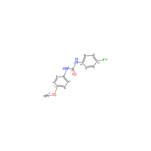 CCCOc1ccc(NC(=O)Nc2ccc(F)cc2)cc1